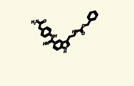 N=C(Nc1ccc(CC(N)=O)cc1)c1ccc2[nH]cc(CCNC(=O)OCc3ccccc3)c2c1